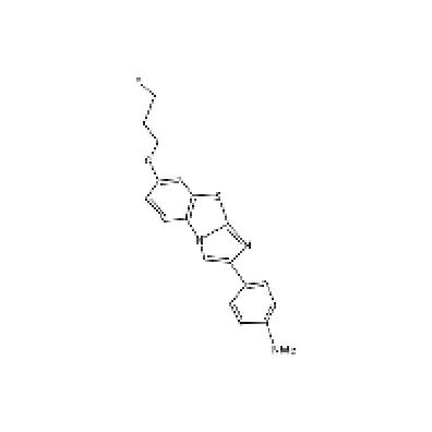 CNc1ccc(-c2cn3c(n2)sc2cc(OCCCF)ccc23)cc1